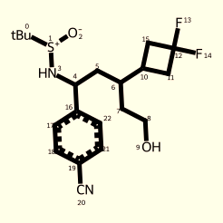 CC(C)(C)[S+]([O-])NC(CC(CCO)C1CC(F)(F)C1)c1ccc(C#N)cc1